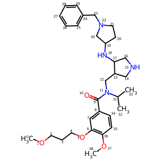 COCCCOc1cc(C(=O)N(CC2CNCC2NC2CCN(Cc3ccccc3)C2)C(C)C)ccc1OC